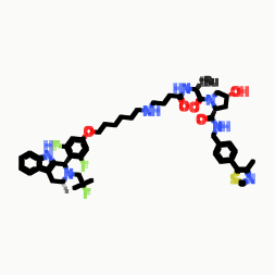 Cc1ncsc1-c1ccc(CNC(=O)[C@@H]2C[C@@H](O)CN2C(=O)[C@@H](NC(=O)CCCNCCCCCCOc2cc(F)c([C@@H]3c4[nH]c5ccccc5c4C[C@@H](C)N3CC(C)(C)F)c(F)c2)C(C)(C)C)cc1